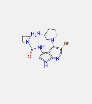 N[C@@H]1CCCN(c2c(Br)cnc3[nH]cc(NC(=O)N4CCC4)c23)C1